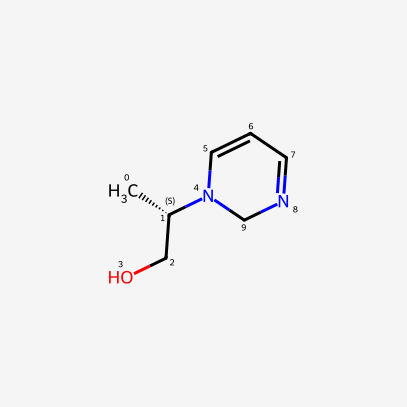 C[C@@H](CO)N1C=CC=NC1